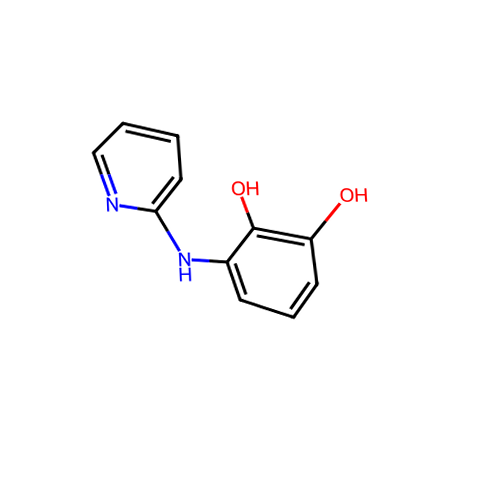 Oc1cccc(Nc2ccccn2)c1O